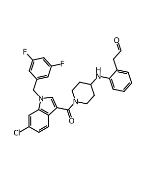 O=CCc1ccccc1NC1CCN(C(=O)c2cn(Cc3cc(F)cc(F)c3)c3cc(Cl)ccc23)CC1